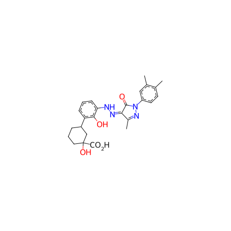 CC1=NN(c2ccc(C)c(C)c2)C(=O)/C1=N\Nc1cccc(C2CCCC(O)(C(=O)O)C2)c1O